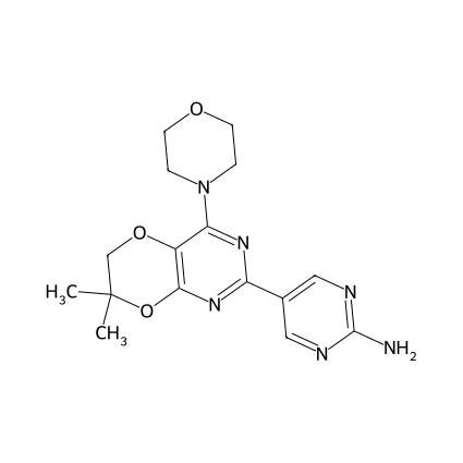 CC1(C)COc2c(nc(-c3cnc(N)nc3)nc2N2CCOCC2)O1